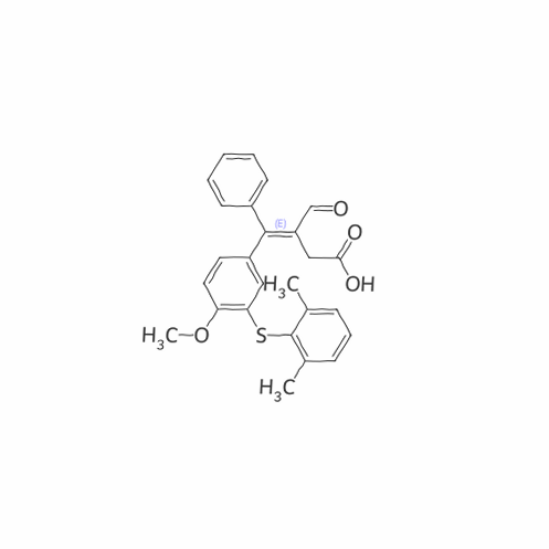 COc1ccc(/C(=C(/C=O)CC(=O)O)c2ccccc2)cc1Sc1c(C)cccc1C